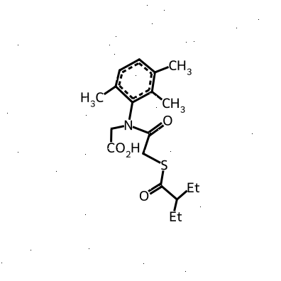 CCC(CC)C(=O)SCC(=O)N(CC(=O)O)c1c(C)ccc(C)c1C